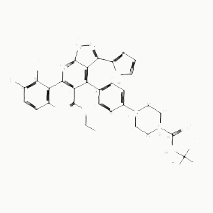 CCOC(=O)c1c(-c2c(F)ccc(F)c2F)nc2[nH]nc(-c3cccs3)c2c1-c1ccc(N2CCN(C(=O)OC(C)(C)C)CC2)cc1